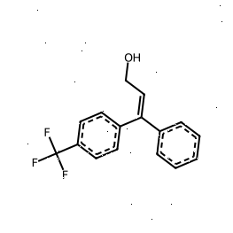 OCC=C(c1ccccc1)c1ccc(C(F)(F)F)cc1